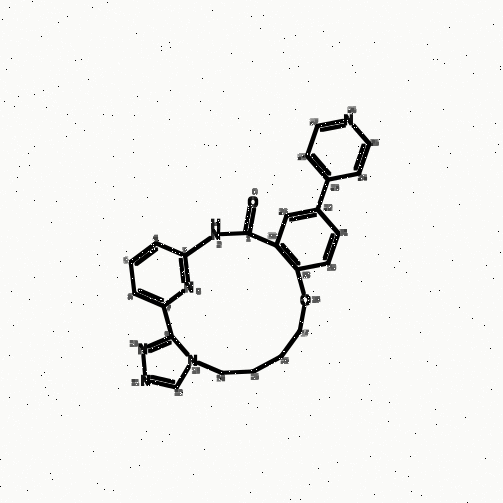 O=C1Nc2cccc(n2)-c2nncn2CCCCOc2ccc(-c3ccncc3)cc21